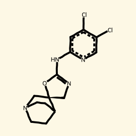 Clc1cnc(NC2=NC[C@@]3(CN4CCC3CC4)O2)cc1Cl